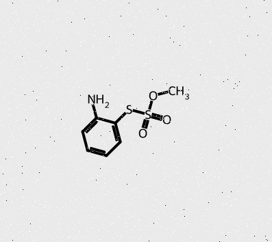 COS(=O)(=O)Sc1ccccc1N